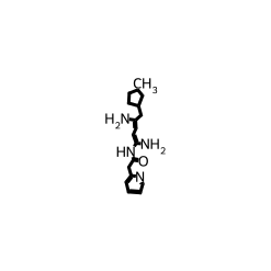 CC1CCC(C/C(N)=C/C=C(\N)NC(=O)Cc2ccccn2)C1